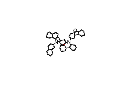 c1ccc(-c2ccccc2N(c2ccc3oc4ccccc4c3c2)c2ccc3c(c2)c2ccc4ccccc4c2n3-c2ccc3ccccc3c2)cc1